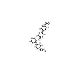 Cc1ccc(C2=C(CN3CCN(c4ccc(C=O)cc4)CC3)C=CCC2)cc1